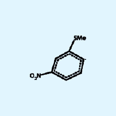 CSc1[c]ccc([N+](=O)[O-])c1